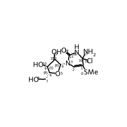 CSC1=CN([C@@H]2O[C@H](CO)[C@@H](O)[C@H]2O)C(=O)NC1(N)Cl